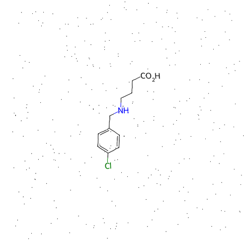 O=C(O)CCCNCc1ccc(Cl)cc1